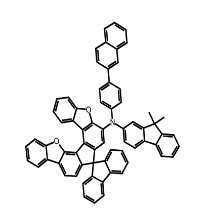 CC1(C)c2ccccc2-c2ccc(N(c3ccc(-c4ccc5ccccc5c4)cc3)c3cc4c(c5c3oc3ccccc35)-c3c(ccc5c3oc3ccccc35)C43c4ccccc4-c4ccccc43)cc21